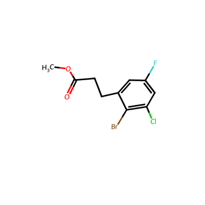 COC(=O)CCc1cc(F)cc(Cl)c1Br